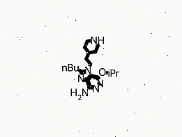 CCCCc1nc2c(N)nnc(OC(C)C)c2n1CCC1CCNCC1